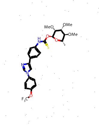 CO[C@@H]1[C@@H](OC)[C@H](C)O[C@@H](OC(=S)Nc2ccc(-c3cn(-c4ccc(OC(F)(F)F)cc4)cn3)cc2)[C@@H]1OC